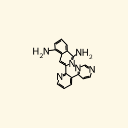 Nc1cccc2c(N)nc(-c3ncccc3-c3ccncn3)cc12